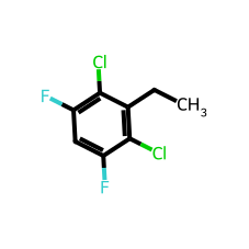 CCc1c(Cl)c(F)cc(F)c1Cl